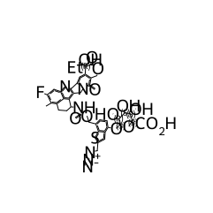 CC[C@]1(O)C(=O)OCc2c1cc1n(c2=O)Cc2c-1nc1cc(F)c(C)c3c1c2C(NC(=O)OCc1ccc(O[C@@H]2O[C@H](C(=O)O)[C@@H](O)[C@H](O)[C@H]2O)c2cc(CN=[N+]=[N-])sc12)CC3